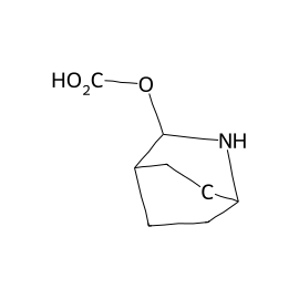 O=C(O)OC1NC2CCC1CC2